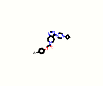 CC(=O)c1ccc(OCC(=O)N2CCc3ncnc(N4CCN(C5CCC5)CC4)c3CC2)cc1